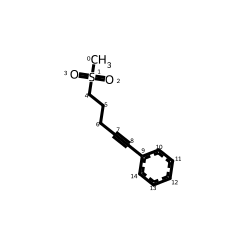 CS(=O)(=O)CCCC#Cc1ccccc1